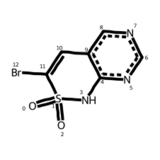 O=S1(=O)Nc2ncncc2C=C1Br